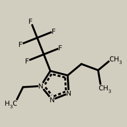 CCn1nnc(CC(C)C)c1C(F)(F)C(F)(F)F